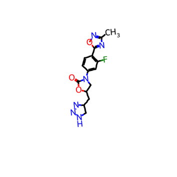 Cc1noc(-c2ccc(N3CC(CC4CNN=N4)OC3=O)cc2F)n1